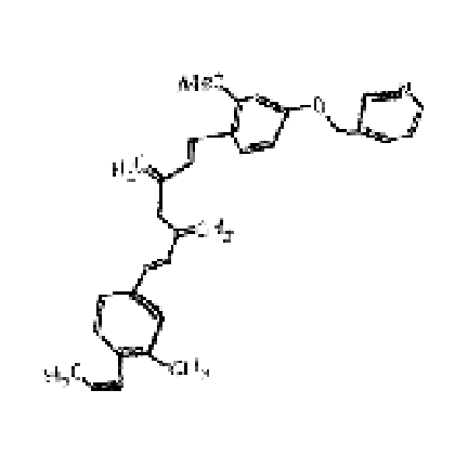 C=C(/C=C/c1ccc(/C=C\C)c(C)c1)CC(=C)/C=C/c1ccc(OCc2cccnc2)cc1OC